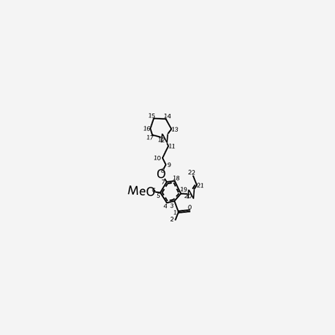 C=C(C)c1cc(OC)c(OCCCN2CCCCC2)cc1/N=C\C